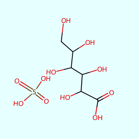 O=C(O)C(O)C(O)C(O)C(O)CO.O=S(=O)(O)O